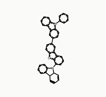 C1#CC2c3ccccc3N(c3cccc4c3oc3ccc(-c5ccc6c(c5)c5ccccc5n6-c5ccccc5)cc34)C2C=C1